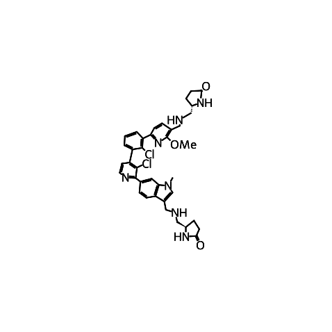 COc1nc(-c2cccc(-c3ccnc(-c4ccc5c(CNC[C@H]6CCC(=O)N6)cn(C)c5c4)c3Cl)c2Cl)ccc1CNC[C@@H]1CCC(=O)N1